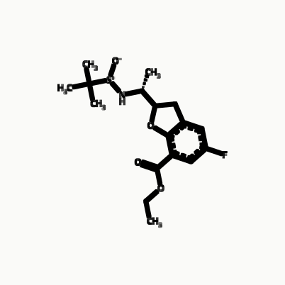 CCOC(=O)c1cc(F)cc2c1OC([C@@H](C)N[S+]([O-])C(C)(C)C)C2